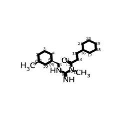 C[C@H]1CCC[C@@H](CNC(=N)N(C)C(=O)CCC2CCCCC2)C1